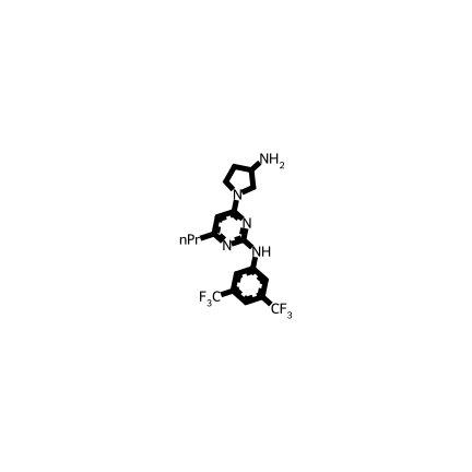 CCCc1cc(N2CCC(N)C2)nc(Nc2cc(C(F)(F)F)cc(C(F)(F)F)c2)n1